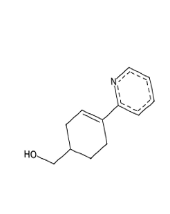 OCC1CC=C(c2ccccn2)CC1